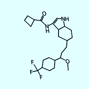 COC(CCC1CCC2NC=C(NC(=O)C3CCC3)C2C1)C1CCC(C(F)(F)F)CC1